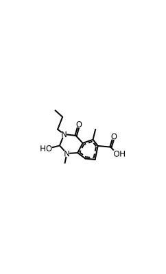 CCCN1C(=O)c2c(ccc(C(=O)O)c2C)N(C)C1O